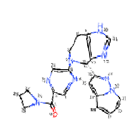 O=C(c1cnc(N2CCc3[nH]cnc3[C@@H]2c2cc3ccccn3n2)cn1)N1CCC1